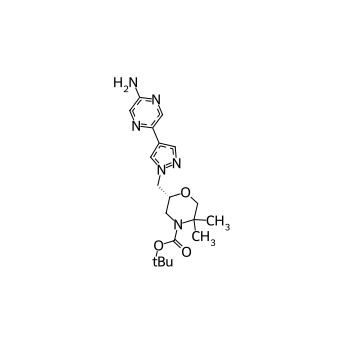 CC(C)(C)OC(=O)N1C[C@H](Cn2cc(-c3cnc(N)cn3)cn2)OCC1(C)C